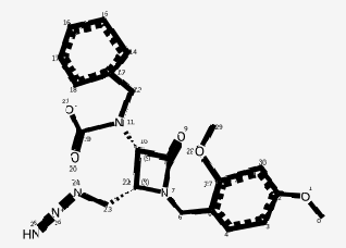 COc1ccc(CN2C(=O)[C@@H](N(Cc3ccccc3)C(=O)[O-])[C@H]2CN=[N+]=N)c(OC)c1